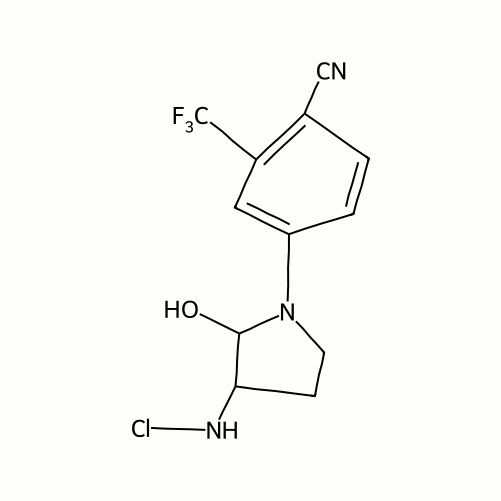 N#Cc1ccc(N2CCC(NCl)C2O)cc1C(F)(F)F